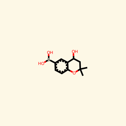 CC1(C)CC(O)c2cc(B(O)O)ccc2O1